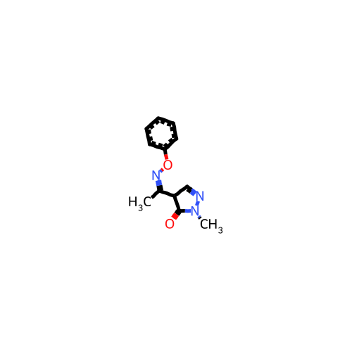 CC(=NOc1ccccc1)C1C=NN(C)C1=O